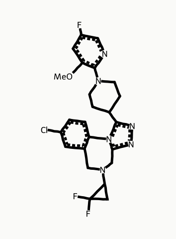 COc1cc(F)cnc1N1CCC(c2nnc3n2-c2ccc(Cl)cc2CN(C2CC2(F)F)C3)CC1